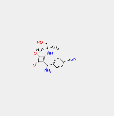 CC(C)(CO)Nc1c(C(N)c2ccc(C#N)cc2)c(=O)c1=O